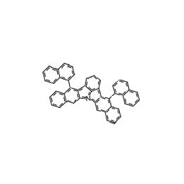 c1ccc2c(-c3c4ccccc4cc4c3c3cccc5c6c(-c7cccc8ccccc78)c7ccccc7cc6n4c35)cccc2c1